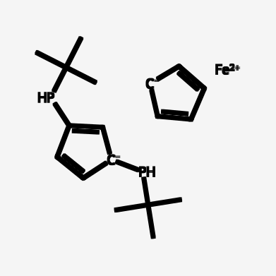 CC(C)(C)Pc1cc[c-](PC(C)(C)C)c1.[Fe+2].c1cc[cH-]c1